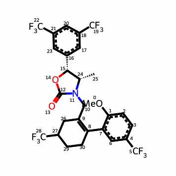 COc1ccc(C(F)(F)F)cc1C1=C(CN2C(=O)O[C@H](c3cc(C(F)(F)F)cc(C(F)(F)F)c3)[C@@H]2C)CC(C(F)(F)F)CC1